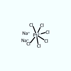 [Cl][Pt-2]([Cl])([Cl])([Cl])([Cl])[Cl].[Na+].[Na+]